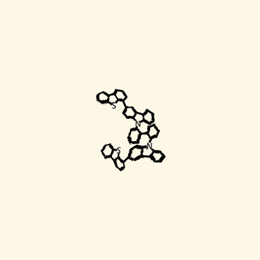 c1ccc(-n2c3ccccc3c3cc(-c4cccc5c4sc4ccccc45)ccc32)c(-c2ccccc2-n2c3ccccc3c3cc(-c4cccc5c4sc4ccccc45)ccc32)c1